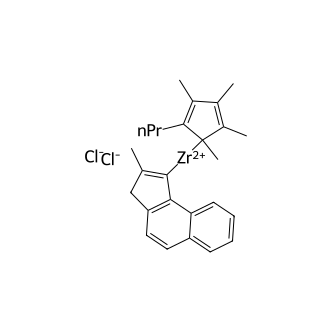 CCCC1=C(C)C(C)=C(C)[C]1(C)[Zr+2][C]1=C(C)Cc2ccc3ccccc3c21.[Cl-].[Cl-]